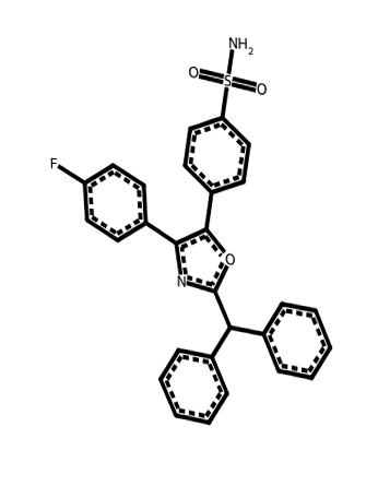 NS(=O)(=O)c1ccc(-c2oc(C(c3ccccc3)c3ccccc3)nc2-c2ccc(F)cc2)cc1